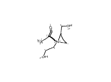 NC(=O)[N+]1(CCO)CC1CO